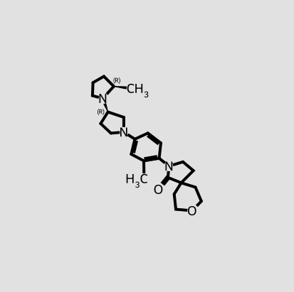 Cc1cc(N2CC[C@@H](N3CCC[C@H]3C)C2)ccc1N1CCC2(CCOCC2)C1=O